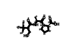 C[C@H](NC(=O)C(CS)C(F)(F)F)C(=O)N1CCC[C@H]1C(=O)O